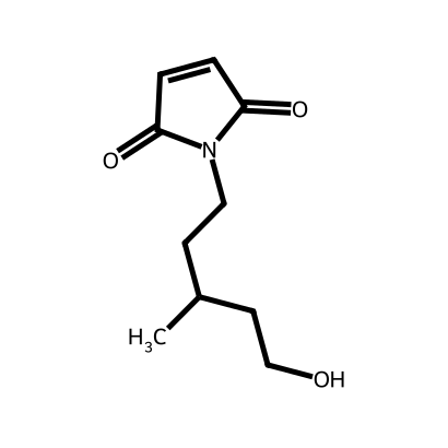 CC(CCO)CCN1C(=O)C=CC1=O